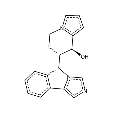 O[C@@H]1c2cccn2CC[C@H]1[C@H]1c2ccccc2-c2cncn21